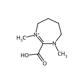 CN1CCCC[N+](C)=C1C(=O)O